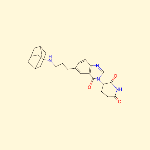 Cc1nc2ccc(CCCNC34CC5CC(CC(C5)C3)C4)cc2c(=O)n1C1CCC(=O)NC1=O